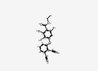 CCOC(=O)c1c(F)cc(Oc2cccc(C#N)c2C#N)c(F)c1F